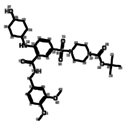 COc1ccc(CNC(=O)c2cc(S(=O)(=O)N3CCN(C(=O)OC(C)(C)C)CC3)ccc2NC2CCC(O)CC2)cc1OC